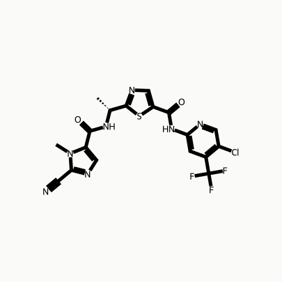 C[C@@H](NC(=O)c1cnc(C#N)n1C)c1ncc(C(=O)Nc2cc(C(F)(F)F)c(Cl)cn2)s1